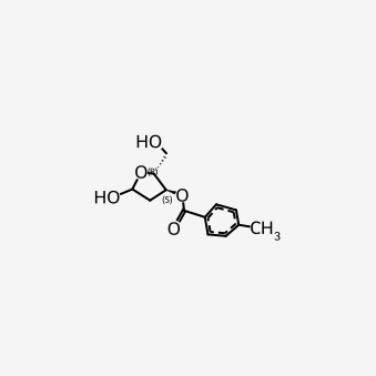 Cc1ccc(C(=O)O[C@H]2CC(O)O[C@@H]2CO)cc1